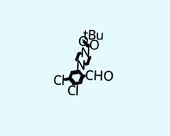 CC(C)(C)OC(=O)N1CCN(c2cc(Cl)c(Cl)cc2C=O)CC1